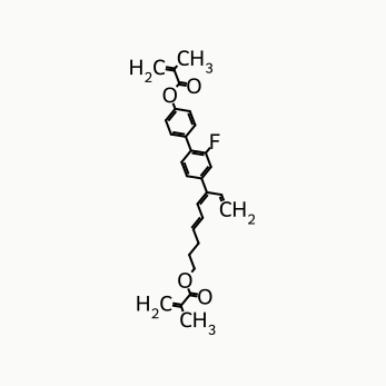 C=C/C(=C\C=C\CCCOC(=O)C(=C)C)c1ccc(-c2ccc(OC(=O)C(=C)C)cc2)c(F)c1